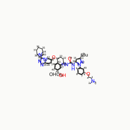 CN(C)CCOc1cccc(-n2nc(C(C)(C)C)cc2NC(=O)N[C@H]2CC[C@@H](Oc3ccc4nnc(N5C6CCCC5CC6)n4c3)c3ccccc32)c1.O=CO